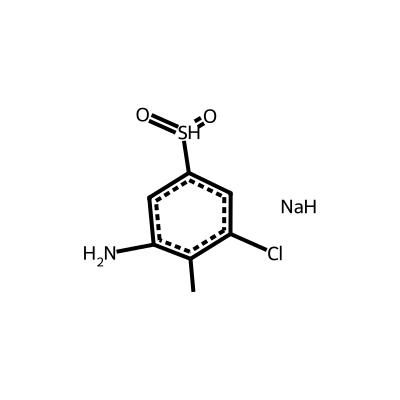 Cc1c(N)cc([SH](=O)=O)cc1Cl.[NaH]